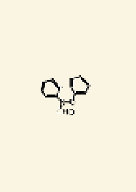 O=CN(Oc1ccccc1)c1[c]cccc1